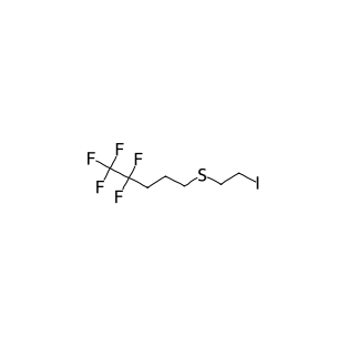 FC(F)(F)C(F)(F)CCCSCCI